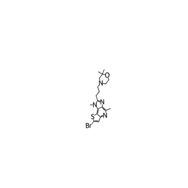 Cc1nc2cc(Br)sc2c2c1nc(CCCN1CCOC(C)(C)C1)n2C